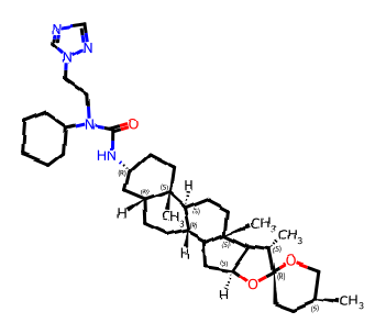 C[C@H]1CC[C@@]2(OC1)O[C@H]1CC3[C@@H]4CC[C@@H]5C[C@H](NC(=O)N(CCn6cncn6)C6CCCCC6)CC[C@]5(C)[C@H]4CC[C@]3(C)C1[C@@H]2C